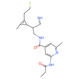 CCC(=O)Nc1cc(C(=O)NCC(C=N)C2C(C)=C2CCF)cc(C)n1